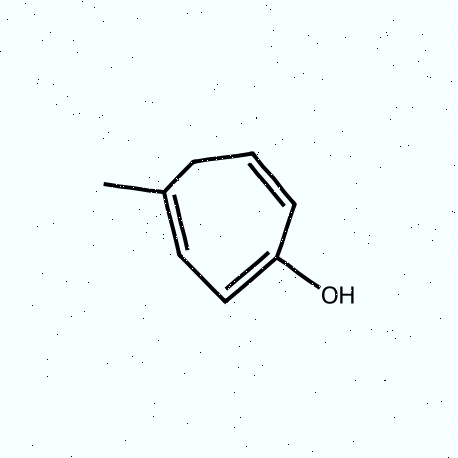 CC1=CC=C(O)C=CC1